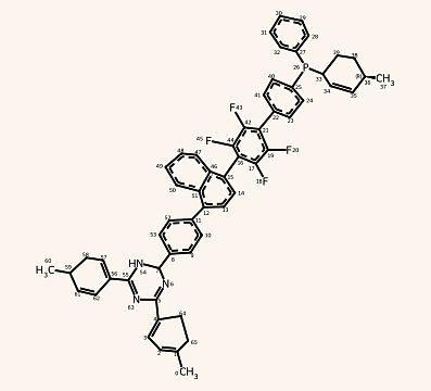 CC1=CC=C(C2=NC(c3ccc(-c4ccc(-c5c(F)c(F)c(-c6ccc(P(c7ccccc7)C7C=C[C@H](C)CC7)cc6)c(F)c5F)c5ccccc45)cc3)NC(C3=CCC(C)C=C3)=N2)CC1